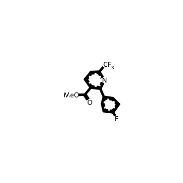 COC(=O)c1ccc(C(F)(F)F)nc1-c1ccc(F)cc1